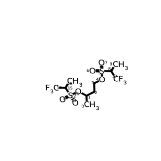 CC(CCOS(=O)(=O)C(C)C(F)(F)F)OS(=O)(=O)C(C)C(F)(F)F